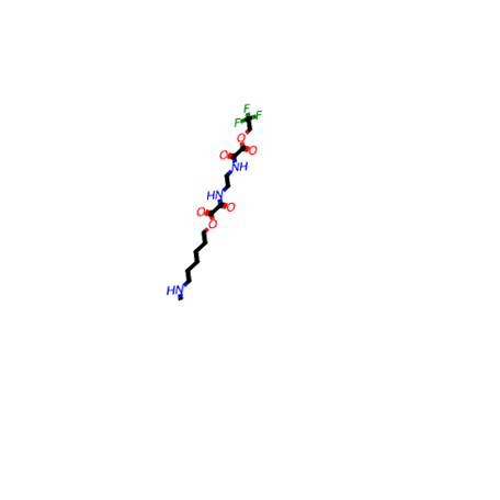 CNCCCCCCOC(=O)C(=O)NCCNC(=O)C(=O)OCC(F)(F)F